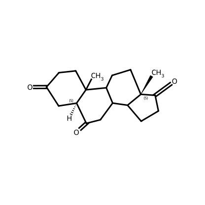 CC12CCC(=O)C[C@@H]1C(=O)CC1C2CC[C@]2(C)C(=O)CCC12